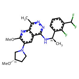 COc1nc2c(C)nnc(N[C@H](C)c3cccc(C(F)F)c3F)c2cc1N1CC[C@H](OC)C1